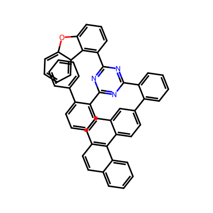 c1ccc(-c2ccccc2-c2nc(-c3ccccc3-c3ccc4c(ccc5ccc6ccccc6c54)c3)nc(-c3cccc4oc5ccccc5c34)n2)cc1